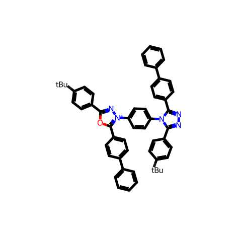 CC(C)(C)c1ccc(-c2n[n+](-c3ccc(-n4c(-c5ccc(-c6ccccc6)cc5)nnc4-c4ccc(C(C)(C)C)cc4)cc3)c(-c3ccc(-c4ccccc4)cc3)o2)cc1